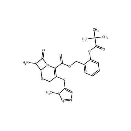 Cn1nnnc1SC1=C(C(=O)OCc2ccccc2OC(=O)C(C)(C)C)N2C(=O)C(N)C2SC1